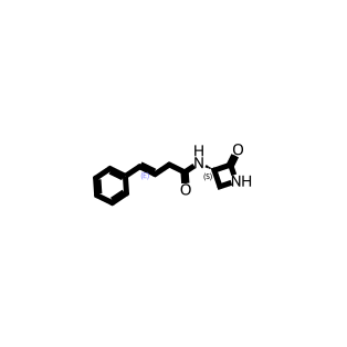 O=C(C/C=C/c1ccccc1)N[C@H]1CNC1=O